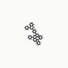 c1ccc(-c2nc(-c3ccc(-c4cccc5c4nc(-c4ccccc4)c4ccc6c7ccccc7n(-c7ccccc7)c6c45)cc3)nc3ccccc23)cc1